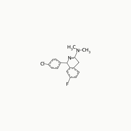 CN(C)C1=NC(c2ccc(Cl)cc2)c2cc(F)ccc2C1